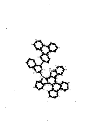 c1ccc2c(-c3ccc4c5ccccc5c5ccccc5c4c3)nc(-n3c4ccccc4c4c5c6ccccc6c6ccccc6c5c5c6ccccc6oc5c43)nc2c1